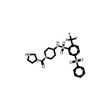 O=C([C@H]1CCNC1)N1CCC(NS(=O)(=O)c2cc(S(=O)(=O)c3ccccc3)ccc2C(F)(F)F)CC1